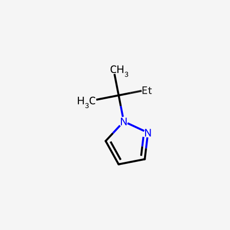 [CH2]CC(C)(C)n1cccn1